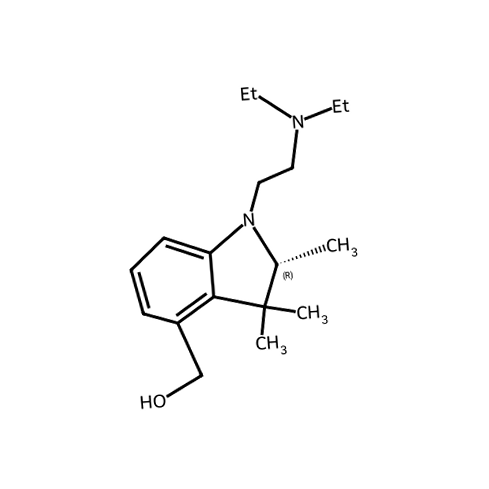 CCN(CC)CCN1c2cccc(CO)c2C(C)(C)[C@H]1C